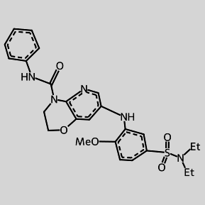 CCN(CC)S(=O)(=O)c1ccc(OC)c(Nc2cnc3c(c2)OCCN3C(=O)Nc2ccccc2)c1